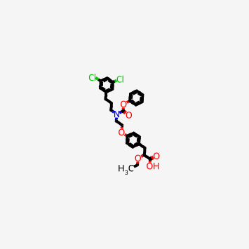 CCOC(Cc1ccc(OCCN(CCCc2cc(Cl)cc(Cl)c2)C(=O)Oc2ccccc2)cc1)C(=O)O